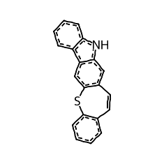 C1=Cc2cc3[nH]c4ccccc4c3cc2Sc2ccccc21